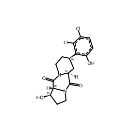 O=C1[C@H]2[C@H](O)CCN2C(=O)[C@@H]2C[C@H](c3c(O)ccc(Cl)c3Cl)CCN12